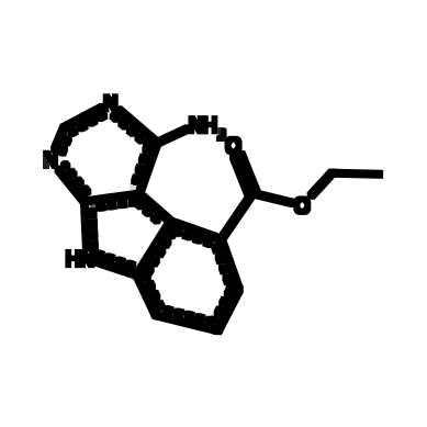 CCOC(=O)c1cccc2[nH]c3ncnc(N)c3c12